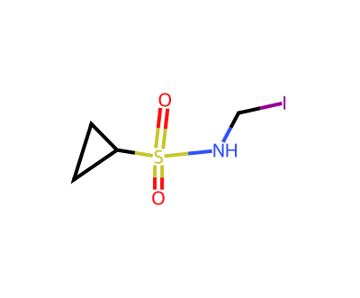 O=S(=O)(NCI)C1CC1